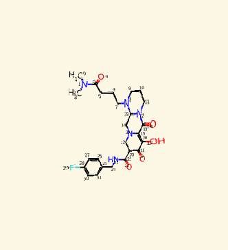 CN(C)C(=O)CCCN1CCCN2C(=O)C3=C(O)C(=O)C(C(=O)NCc4ccc(F)cc4)CN3CC12